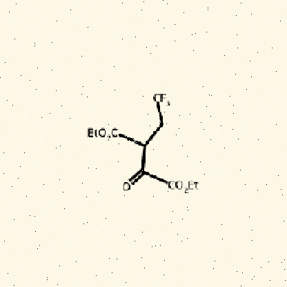 CCOC(=O)C(=O)C(CC(F)(F)F)C(=O)OCC